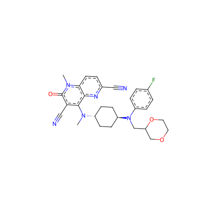 Cn1c(=O)c(C#N)c(N(C)[C@H]2CC[C@H](N(CC3COCCO3)c3ccc(F)cc3)CC2)c2nc(C#N)ccc21